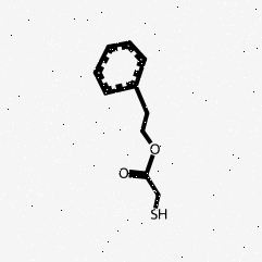 O=C(CS)OCCc1ccccc1